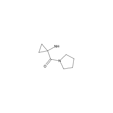 [NH]C1(C(=O)N2CCCC2)CC1